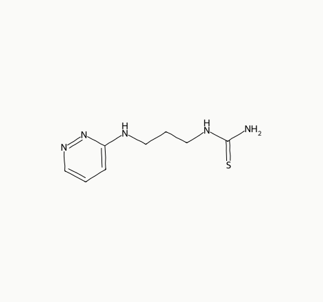 NC(=S)NCCCNc1cccnn1